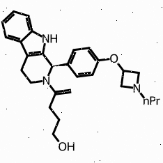 C=C(CCCO)N1CCc2c([nH]c3ccccc23)[C@H]1c1ccc(OC2CN(CCC)C2)cc1